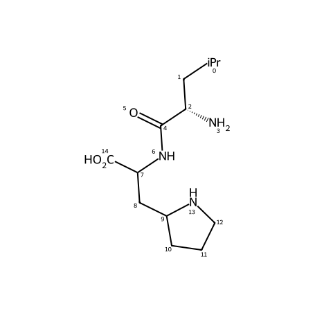 CC(C)C[C@H](N)C(=O)NC(CC1CCCN1)C(=O)O